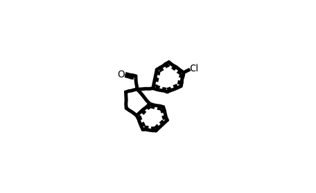 O=CC1(c2ccc(Cl)cc2)CCc2ccccc21